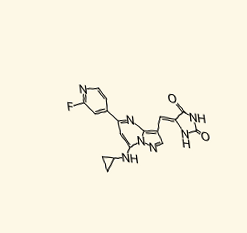 O=C1NC(=O)C(=Cc2cnn3c(NC4CC4)cc(-c4ccnc(F)c4)nc23)N1